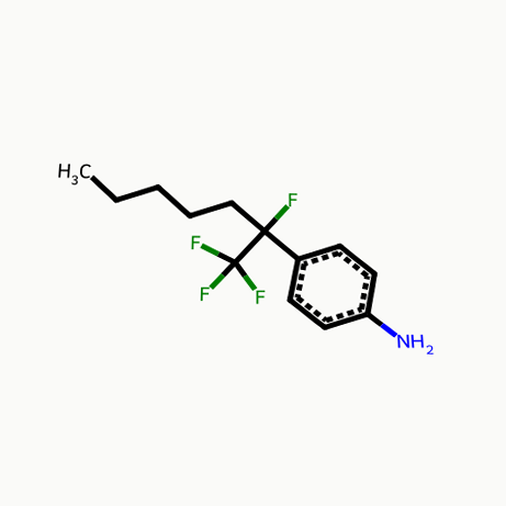 CCCCCC(F)(c1ccc(N)cc1)C(F)(F)F